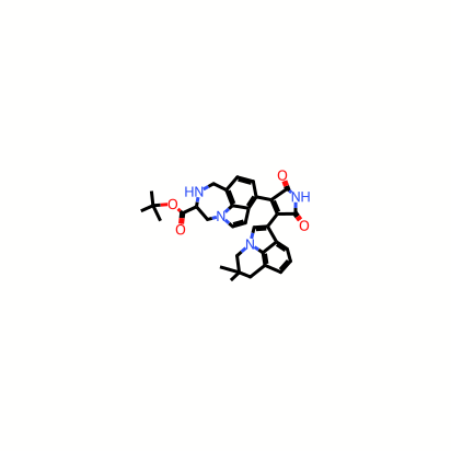 CC1(C)Cc2cccc3c(C4=C(c5ccc6c7c5ccn7CC(C(=O)OC(C)(C)C)NC6)C(=O)NC4=O)cn(c23)C1